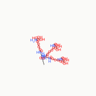 CCCCCCCNC(=O)C(CCCCNC(=O)COCCOCCOCCO[C@@H]1O[C@H](CO)[C@H](O)[C@H](O)[C@H]1N)NC(=O)C(CCCCNC(=O)COCCOCCOCCO[C@@H]1O[C@H](CO)[C@H](O)[C@H](O)[C@H]1NC(C)=O)NC(=O)COCCOCCOCCO[C@@H]1O[C@H](CO)[C@H](O)[C@H](O)[C@H]1NC(C)=O